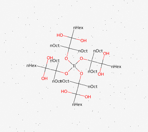 CCCCCCCCC(CCCCCCCC)([O][Ti]([O]C(CCCCCCCC)(CCCCCCCC)C(O)(O)CCCCCC)([O]C(CCCCCCCC)(CCCCCCCC)C(O)(O)CCCCCC)[O]C(CCCCCCCC)(CCCCCCCC)C(O)(O)CCCCCC)C(O)(O)CCCCCC